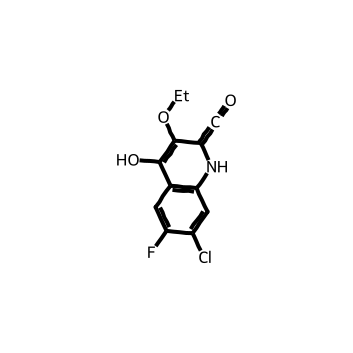 CCOC1=C(O)c2cc(F)c(Cl)cc2NC1=C=O